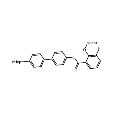 CCCCCCCOc1c(F)cccc1C(=O)Oc1ccc(-c2ccc(CCCCCCC)cc2)cc1